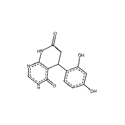 O=C1CC(c2ccc(O)cc2O)c2c(nc[nH]c2=O)N1